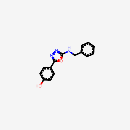 Oc1ccc(-c2nnc(NCc3ccccc3)o2)cc1